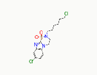 O=S1(=O)c2nc3cc(Cl)ccc3n2CCN1CCCCCCCl